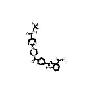 NC(=O)c1cccc2[nH]c(-c3ccc(C(=O)N4CCN(c5ncc(C(=O)NCC(F)(F)F)cn5)CC4)cc3)nc12